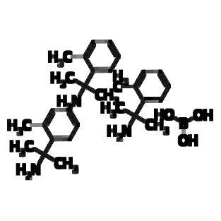 Cc1ccccc1C(C)(C)N.Cc1ccccc1C(C)(C)N.Cc1ccccc1C(C)(C)N.OB(O)O